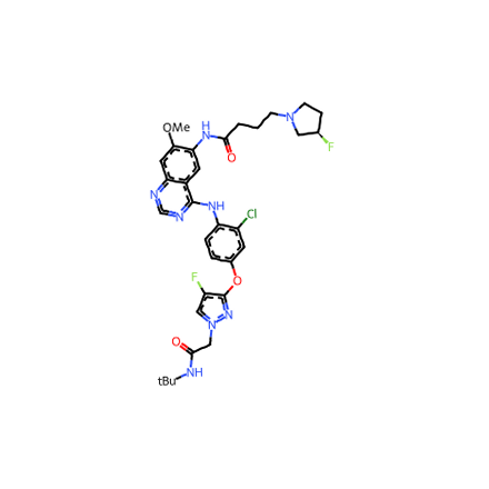 COc1cc2ncnc(Nc3ccc(Oc4nn(CC(=O)NC(C)(C)C)cc4F)cc3Cl)c2cc1NC(=O)CCCN1CC[C@@H](F)C1